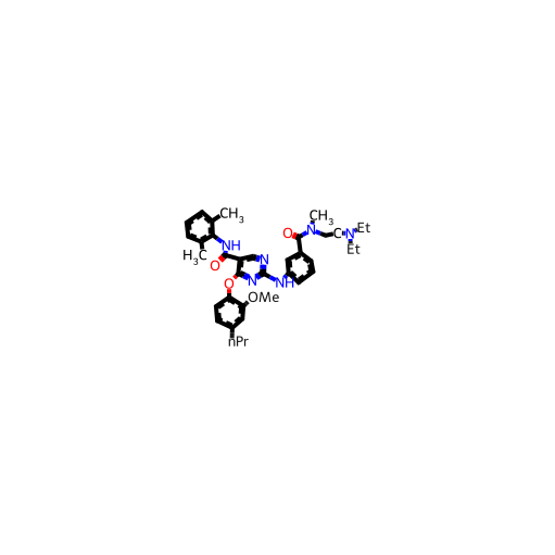 CCCc1ccc(Oc2nc(Nc3cccc(C(=O)N(C)CCN(CC)CC)c3)ncc2C(=O)Nc2c(C)cccc2C)c(OC)c1